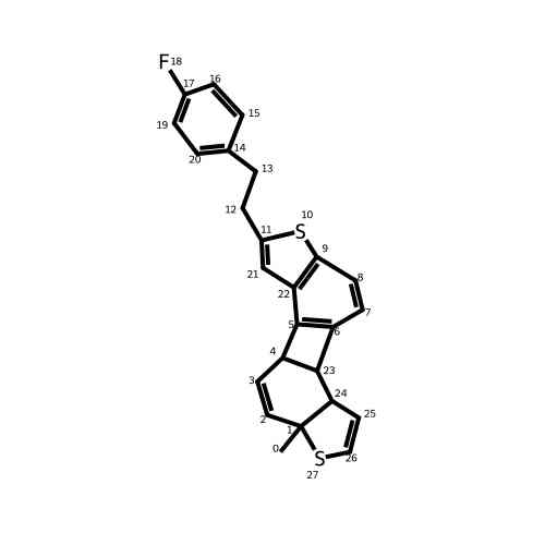 CC12C=CC3c4c(ccc5sc(CCc6ccc(F)cc6)cc45)C3C1C=CS2